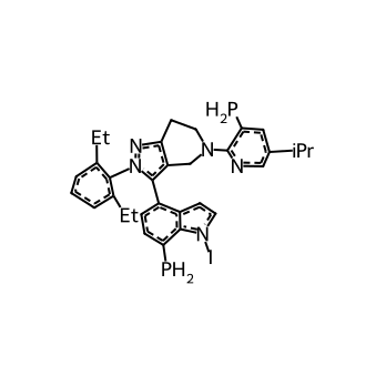 CCc1cccc(CC)c1-n1nc2c(c1-c1ccc(P)c3c1ccn3I)CN(c1ncc(C(C)C)cc1P)CC2